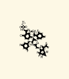 Cn1nc(NS(C)(=O)=O)c2c(Cl)ccc(-n3c([C@H](Cc4cc(F)cc(F)c4)NC(=O)Cn4nc(C(F)F)c5c4C(F)(F)[C@@H]4C[C@H]54)nc4cc(F)cc(F)c4c3=O)c21